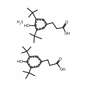 CC(C)(C)c1cc(CCC(=O)O)cc(C(C)(C)C)c1O.CC(C)(C)c1cc(CCC(=O)O)cc(C(C)(C)C)c1O.S